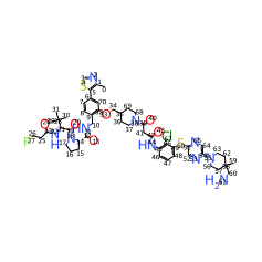 Cc1ncsc1-c1ccc(CNC(=O)[C@@H]2CCCN2C(=O)[C@@H](NC(=O)CCF)C(C)(C)C)c(OCC2CCN(C(=O)CC(=O)Nc3cccc(Sc4cnc(N5CCC(C)(CN)CC5)cn4)c3Cl)CC2)c1